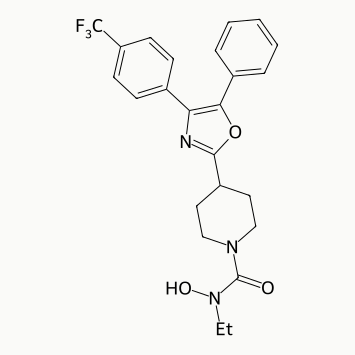 CCN(O)C(=O)N1CCC(c2nc(-c3ccc(C(F)(F)F)cc3)c(-c3ccccc3)o2)CC1